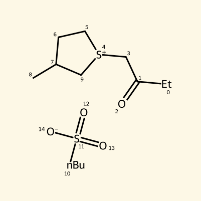 CCC(=O)C[S+]1CCC(C)C1.CCCCS(=O)(=O)[O-]